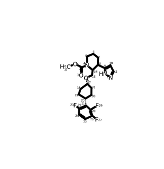 COC(=O)N1CCCC(c2ccn[nH]2)C1CO[C@H]1CC[C@@H](c2c(F)ccc(F)c2F)CC1